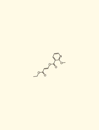 CCOC(=O)C=COC(=O)c1cccnc1OC